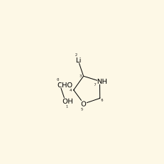 O=CO.[Li][CH]1COCN1